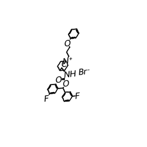 O=C(NC1C[N+]2(CCCOc3ccccc3)CCC1CC2)OC(c1cccc(F)c1)c1cccc(F)c1.[Br-]